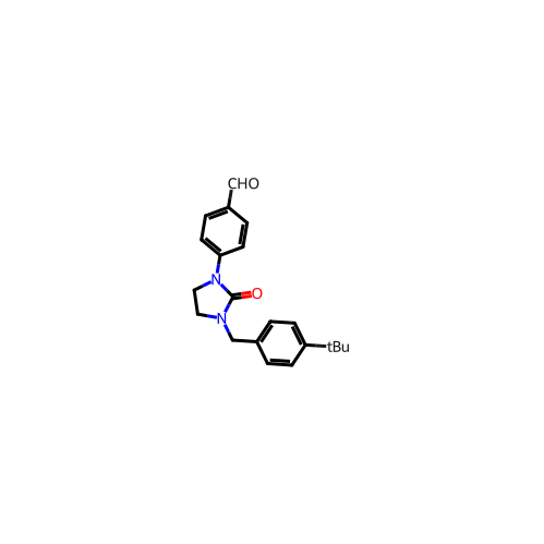 CC(C)(C)c1ccc(CN2CCN(c3ccc(C=O)cc3)C2=O)cc1